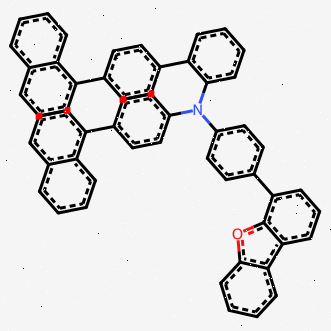 c1ccc(N(c2ccc(-c3cccc4ccccc34)cc2)c2ccc(-c3cccc4c3oc3ccccc34)cc2)c(-c2ccc(-c3cccc4ccccc34)cc2)c1